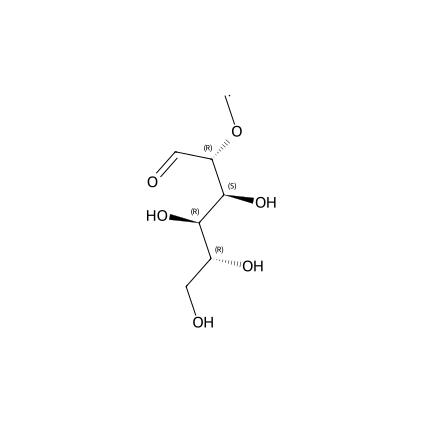 [CH2]O[C@@H](C=O)[C@@H](O)[C@H](O)[C@H](O)CO